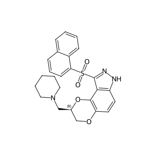 O=S(=O)(c1cccc2ccccc12)c1n[nH]c2ccc3c(c12)O[C@H](CN1CCCCC1)CO3